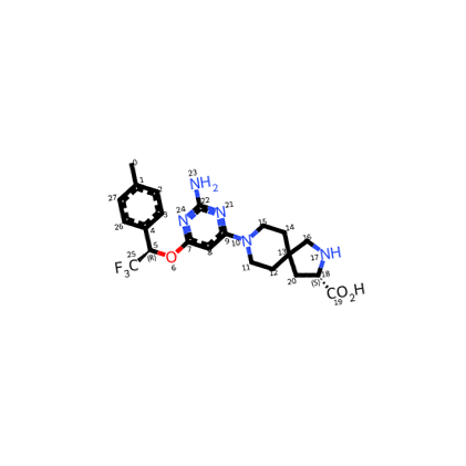 Cc1ccc([C@@H](Oc2cc(N3CCC4(CC3)CN[C@H](C(=O)O)C4)nc(N)n2)C(F)(F)F)cc1